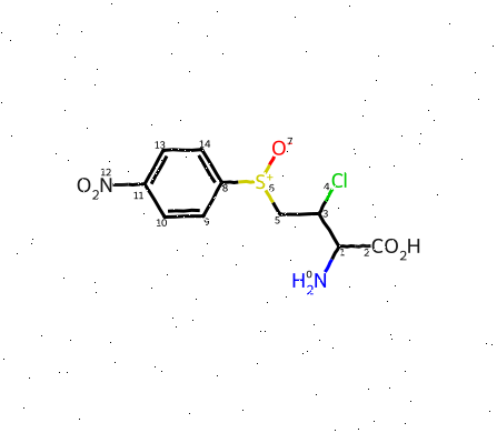 NC(C(=O)O)C(Cl)C[S+]([O-])c1ccc([N+](=O)[O-])cc1